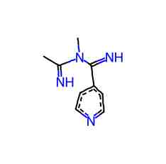 CC(=N)N(C)C(=N)c1ccncc1